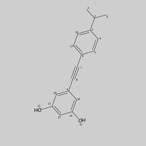 CC(C)c1ccc(C#Cc2cc(O)cc(O)c2)cc1